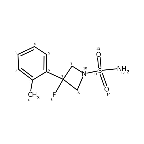 Cc1ccccc1C1(F)CN(S(N)(=O)=O)C1